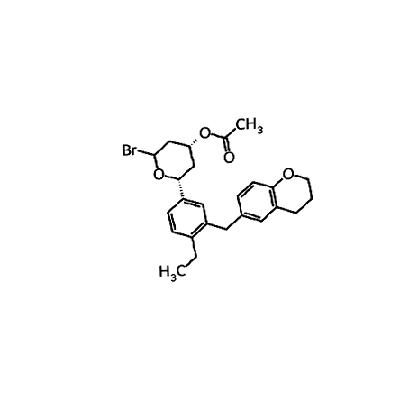 CCc1ccc([C@H]2C[C@@H](OC(C)=O)CC(Br)O2)cc1Cc1ccc2c(c1)CCCO2